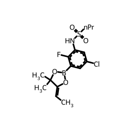 C/C=C1\OB(c2cc(Cl)cc(NS(=O)(=O)CCC)c2F)OC1(C)C